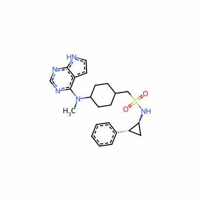 CN(c1ncnc2[nH]ccc12)C1CCC(CS(=O)(=O)N[C@H]2C[C@@H]2c2ccccc2)CC1